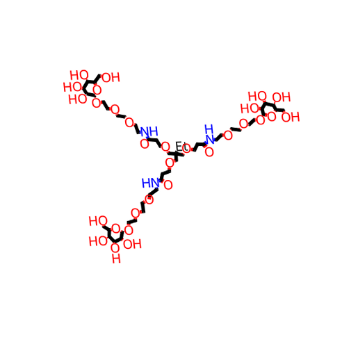 CCC(COCCC(=O)NCCOCCOCCO[C@H]1OC(CO)[C@@H](O)C(O)C1O)(COCCC(=O)NCCOCCOCCO[C@H]1OC(CO)[C@@H](O)C(O)C1O)COCCC(=O)NCCOCCOCCO[C@H]1OC(CO)[C@@H](O)C(O)C1O